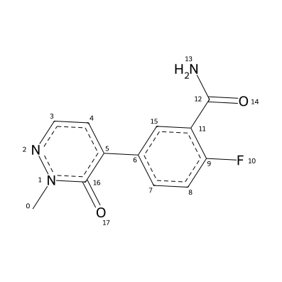 Cn1nccc(-c2ccc(F)c(C(N)=O)c2)c1=O